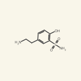 NC[CH]c1ccc(O)c(S(N)(=O)=O)c1